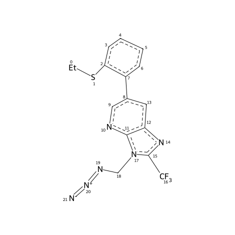 CCSc1ccccc1-c1cnc2c(c1)nc(C(F)(F)F)n2CN=[N+]=[N-]